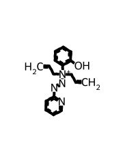 C=CC[N+](CC=C)(N=Nc1ccccn1)c1ccccc1O